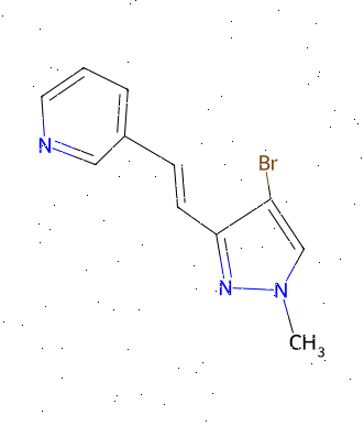 Cn1cc(Br)c(C=Cc2cccnc2)n1